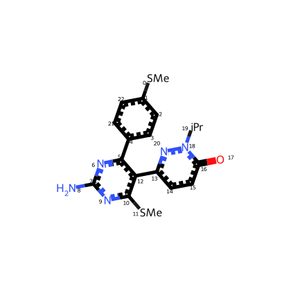 CSc1ccc(-c2nc(N)nc(SC)c2-c2ccc(=O)n(C(C)C)n2)cc1